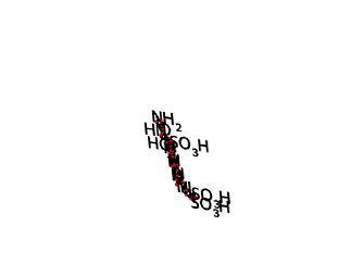 Cc1cc(N=Nc2cc(C)c(N=Nc3cc(C)c(N=Nc4c(S(=O)(=O)O)cc5cc(NC(=O)c6ccc(N)cc6)ccc5c4O)cc3C)cc2C)c(C)cc1N=Nc1ccc2cc(S(=O)(=O)O)cc(S(=O)(=O)O)c2c1